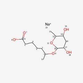 CC(CCCCC(=O)[O-])OC1OC(C)C(O)CC1O.[Na+]